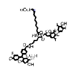 CCCCCCCC/C=C\CCCCCCCC(=O)NC(CCCCNC(=O)c1ccc(-c2c3cc(F)c(=O)cc-3oc3cc(O)c(F)cc23)c(C(=O)O)c1)C(=O)NC(Cc1cc(I)c(Oc2cc(I)c(O)c(I)c2)c(I)c1)C(=O)O